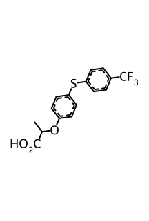 CC(Oc1ccc(Sc2ccc(C(F)(F)F)cc2)cc1)C(=O)O